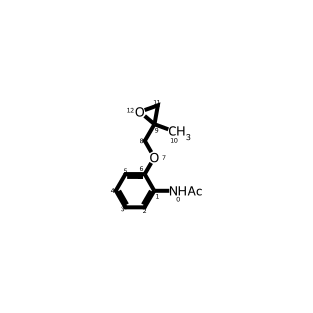 CC(=O)Nc1ccccc1OCC1(C)CO1